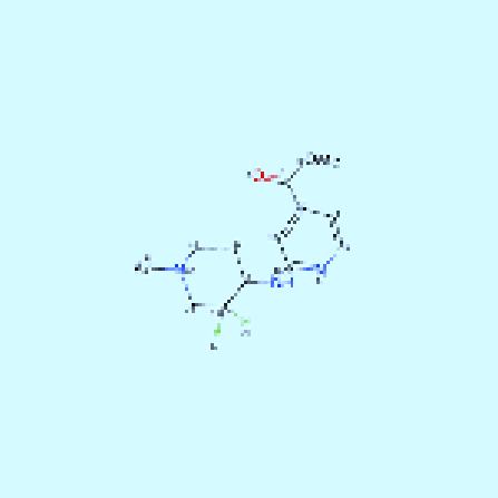 COC(=O)c1ccnc(NC2CCN(C(C)=O)CC2(F)F)c1